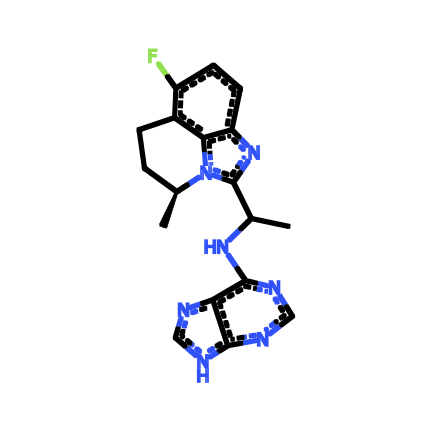 CC(Nc1ncnc2[nH]cnc12)c1nc2ccc(F)c3c2n1[C@@H](C)CC3